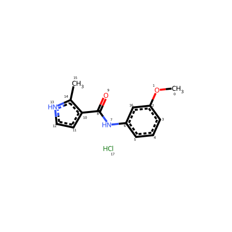 COc1cccc(NC(=O)c2cc[nH]c2C)c1.Cl